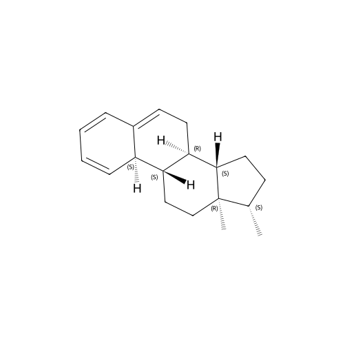 C[C@H]1CC[C@H]2[C@@H]3CC=C4C=CC=C[C@@H]4[C@H]3CC[C@]12C